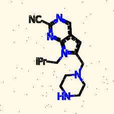 CC(C)Cn1c(CN2CCNCC2)cc2cnc(C#N)nc21